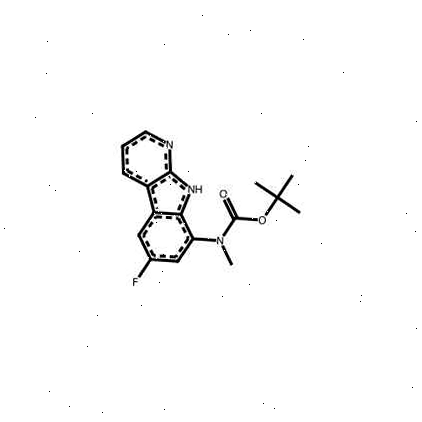 CN(C(=O)OC(C)(C)C)c1cc(F)cc2c1[nH]c1ncccc12